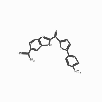 N=C(N)c1ccc2nc(C(=O)c3ccc(-c4ccc([N+](=O)[O-])cc4)o3)[nH]c2c1